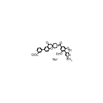 CCOc1cc(C(=O)N2CCC3(CC2)CC(=O)c2cc(-c4cccc(C(=O)[O-])c4)ccc2O3)cc(OCC)c1-c1cnn(C)c1.[Na+]